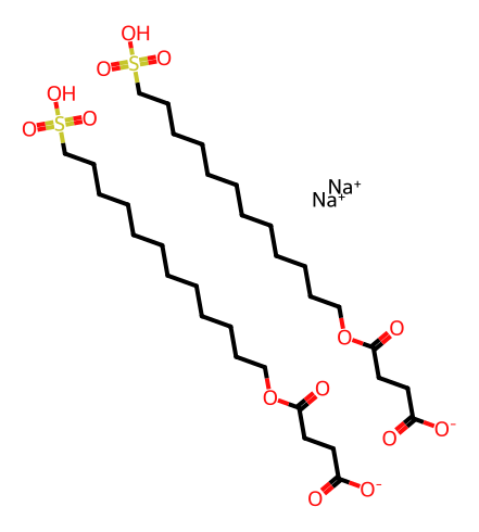 O=C([O-])CCC(=O)OCCCCCCCCCCCCS(=O)(=O)O.O=C([O-])CCC(=O)OCCCCCCCCCCCCS(=O)(=O)O.[Na+].[Na+]